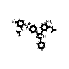 CC(C)Nc1cc(-c2[nH]c(-c3ccccc3)nc2-c2ccccc2)ccc1N.CC(C)Nc1cc(Br)ccc1[N+](=O)[O-]